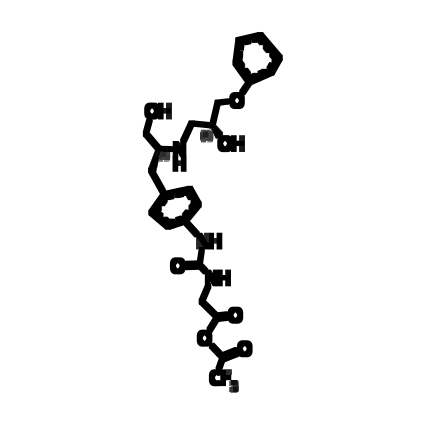 O=C(NCC(=O)OC(=O)C(F)(F)F)Nc1ccc(C[C@@H](CO)NC[C@H](O)COc2ccccc2)cc1